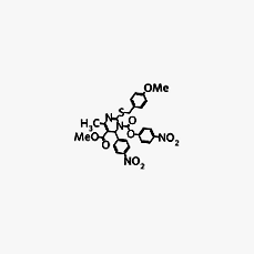 COC(=O)C1=C(C)N=C(SCc2ccc(OC)cc2)N(C(=O)Oc2ccc([N+](=O)[O-])cc2)C1c1ccc([N+](=O)[O-])cc1